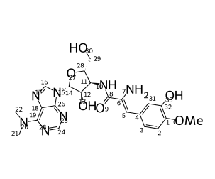 COc1ccc(/C=C(\N)C(=O)N[C@H]2[C@@H](O)[C@H](n3cnc4c(N(C)C)ncnc43)O[C@@H]2CO)cc1O